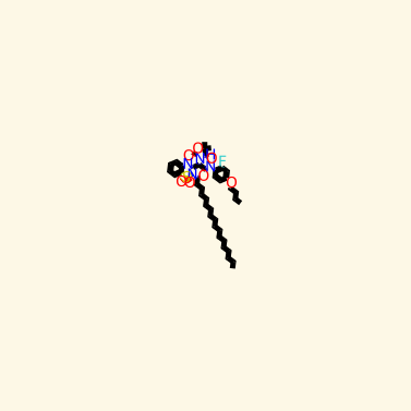 CCCCCCCCCCCCCCCCCCN1C(C(C(=O)Nc2ccc(OCCCC)cc2F)N2C(=O)OC(C)(C)C2=O)=Nc2ccccc2S1(=O)=O